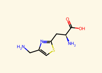 NCc1csc(C[C@H](N)C(=O)O)n1